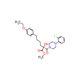 CCOc1ccc(CCCC[C@@](O)(C(=O)OC)C(=O)N2CCN(c3ccccc3F)CC2)cc1